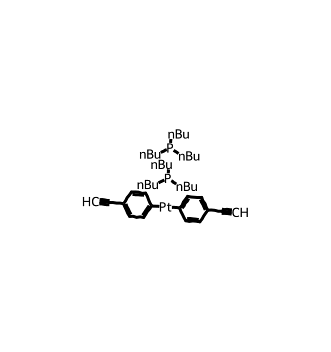 C#Cc1cc[c]([Pt][c]2ccc(C#C)cc2)cc1.CCCCP(CCCC)CCCC.CCCCP(CCCC)CCCC